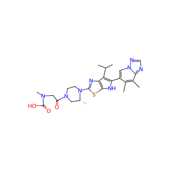 Cc1c(-c2[nH]c3sc(N4CCN(C(=O)CN(C)C(=O)O)C[C@H]4C)nc3c2C(C)C)cn2ncnc2c1C